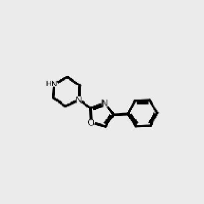 c1ccc(-c2coc(N3CCNCC3)n2)cc1